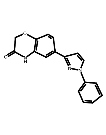 O=C1COc2ccc(-c3ccn(-c4ccccc4)n3)cc2N1